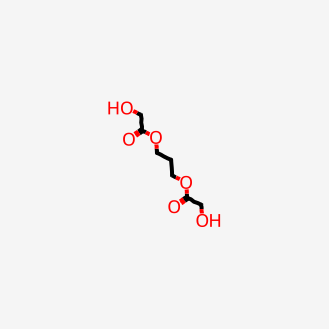 O=C(CO)OCCCOC(=O)CO